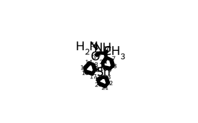 CC(C(=O)NN)c1ccc[c]([Sn]([c]2ccccc2)[c]2ccccc2)c1